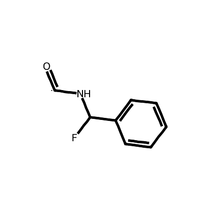 O=[C]NC(F)c1ccccc1